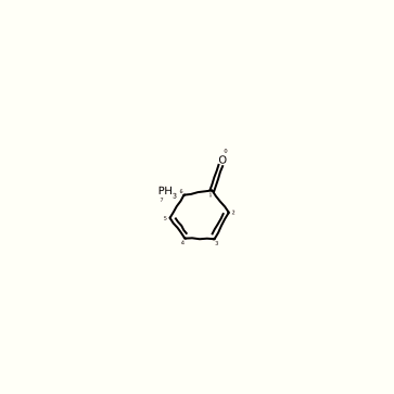 O=C1C=CC=CC1.P